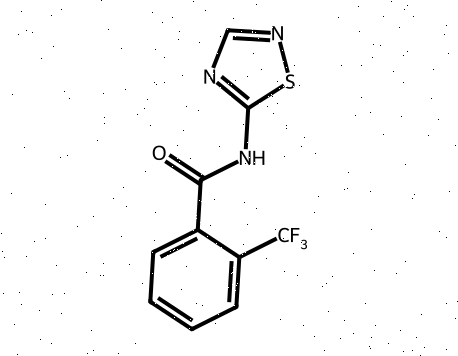 O=C(Nc1ncns1)c1ccccc1C(F)(F)F